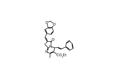 CCOC(=O)C1=C(C)N=c2s/c(=C/c3ccc4c(c3)OCO4)c(=O)n2C1/C=C/c1ccccc1